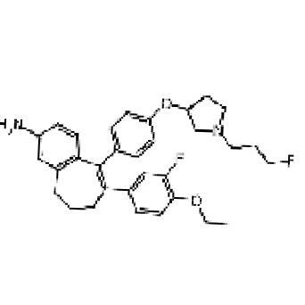 CCOc1ccc(C2=C(c3ccc(OC4CCN(CCCF)C4)cc3)c3ccc(N)cc3CCC2)cc1F